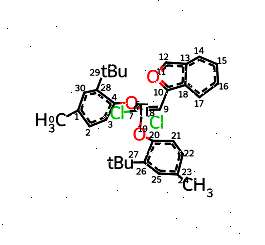 Cc1ccc([O][Ti]([Cl])([Cl])(=[CH]c2occ3ccccc23)[O]c2ccc(C)cc2C(C)(C)C)c(C(C)(C)C)c1